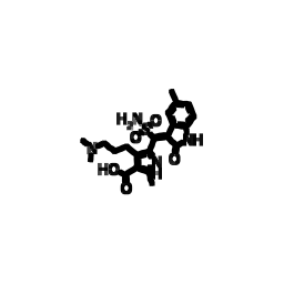 Cc1ccc2c(c1)C(=C(c1[nH]c(C)c(C(=O)O)c1CCCN(C)C)S(N)(=O)=O)C(=O)N2